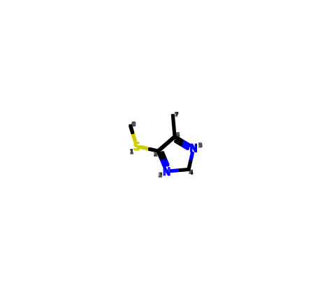 CSC1=NCN=C1C